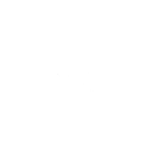 C/C=C1\CC(=S)CC1=O